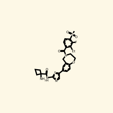 CCc1c(C(=O)N2CCOc3ccc(-c4cnc(NC(=O)C5(N)CCC5)s4)cc3C2)ccc(S(C)(=O)=O)c1F